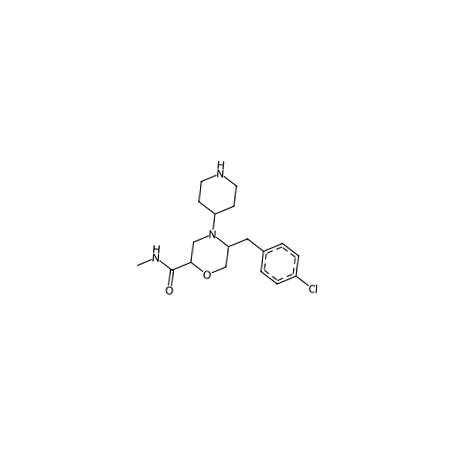 CNC(=O)C1CN(C2CCNCC2)C(Cc2ccc(Cl)cc2)CO1